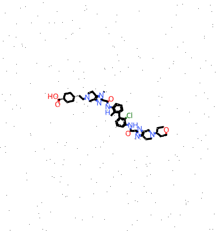 Cc1c(NC(=O)c2nc3c(n2C)CCN(CC[C@H]2CC[C@H](C(=O)O)CC2)C3)cccc1-c1cccc(NC(=O)c2nc3c(n2C)CCN(C2CCOCC2)C3)c1Cl